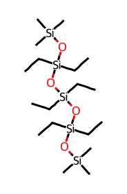 CC[Si](CC)(O[Si](C)(C)C)O[Si](CC)(CC)O[Si](CC)(CC)O[Si](C)(C)C